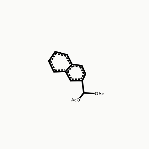 CC(=O)OC(OC(C)=O)c1ccc2ccccc2c1